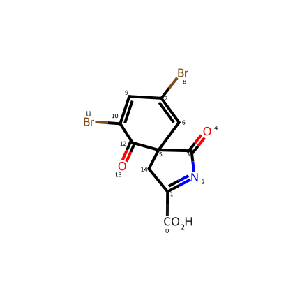 O=C(O)C1=NC(=O)C2(C=C(Br)C=C(Br)C2=O)C1